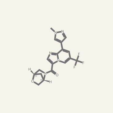 Cn1cc(-c2cc(C(F)(F)F)cn3c(C(=O)N4C[C@@H]5C[C@H]4CO5)cnc23)cn1